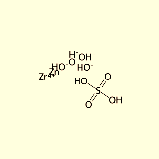 O=S(=O)(O)O.[OH-].[OH-].[OH-].[OH-].[Zn].[Zr+4]